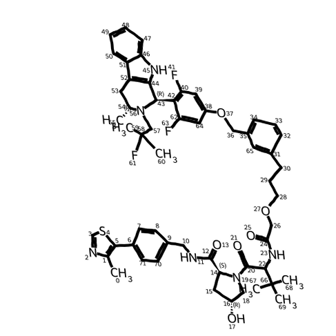 Cc1ncsc1-c1ccc(CNC(=O)[C@@H]2C[C@@H](O)CN2C(=O)C(NC(=O)COCCCc2cccc(COc3cc(F)c([C@@H]4c5[nH]c6ccccc6c5C[C@@H](C)N4CC(C)(C)F)c(F)c3)c2)C(C)(C)C)cc1